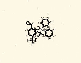 CC(C)(C)[Si](Oc1cc(C(F)(F)F)ccc1C=O)(c1ccccc1)c1ccccc1